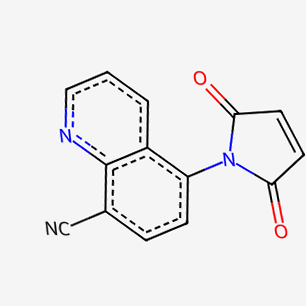 N#Cc1ccc(N2C(=O)C=CC2=O)c2cccnc12